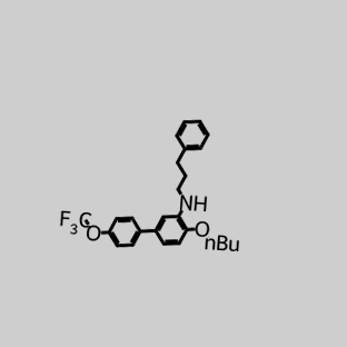 CCCCOc1ccc(-c2ccc(OC(F)(F)F)cc2)cc1NCCCc1ccccc1